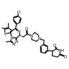 Cc1sc2c(c1C)C(c1ccc(Cl)cc1)=N[C@@H](CC(=O)N1CCN(Cc3cccc(C4CCC(=O)NC4=O)c3)CC1)c1nnc(C)n1-2